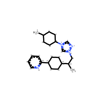 CC1CCC(n2cn[n+](CC(C)C3CCC(c4ccccn4)CC3)c2)CC1